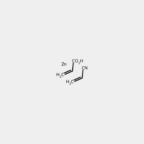 C=CC#N.C=CC(=O)O.[Zn]